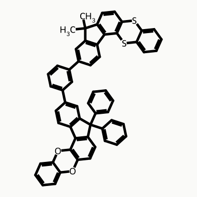 CC1(C)c2cc(-c3cccc(-c4ccc5c(c4)C(c4ccccc4)(c4ccccc4)c4ccc6c(c4-5)Oc4ccccc4O6)c3)ccc2-c2c1ccc1c2Sc2ccccc2S1